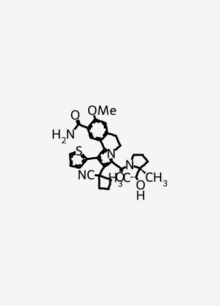 COc1cc2c(cc1C(N)=O)-c1c(-c3cccs3)c(C3(C#N)CCC3)c(C(=O)N3CCC[C@]3(C)[C@@H](C)O)n1CC2